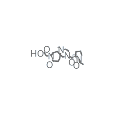 CC(=O)N1CCC[C@@H]1C(=O)N1CCN(C)C2(CCC(=O)N(CC(=O)O)CC2)C1